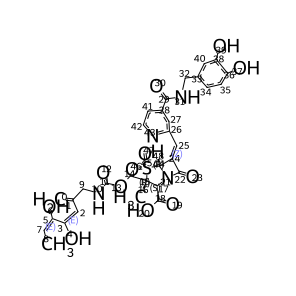 C=C(/C=C(O)\C(O)=C/C)CNC(=O)OC[C@@]1(C)[C@H](C(=O)O)N2C(=O)/C(=C/c3cc(C(=O)NCc4ccc(O)c(O)c4)ccn3)[C@H]2S1(=O)=O